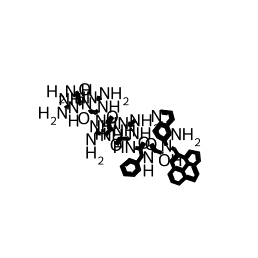 N=C(N)NC(NC(=O)C(NC(=N)N)NC(=O)C(NC(=N)N)NC(=O)C(NC(=N)N)NC(=O)C(NC(=O)C(O)N(CC1=CC2=C3C(=CC=C4C=CC=C1C43)CC=C2)c1ccc2ncccc2c1N)c1ccccc1)C(N)=O